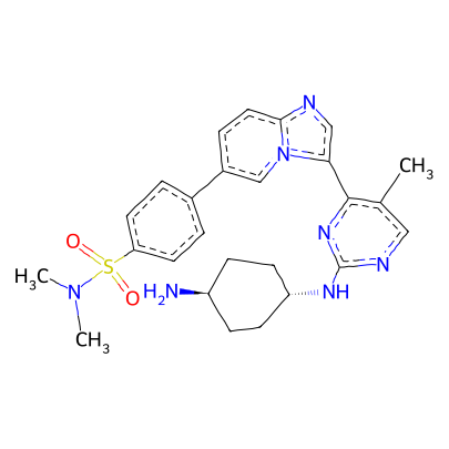 Cc1cnc(N[C@H]2CC[C@H](N)CC2)nc1-c1cnc2ccc(-c3ccc(S(=O)(=O)N(C)C)cc3)cn12